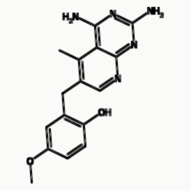 COc1ccc(O)c(Cc2cnc3nc(N)nc(N)c3c2C)c1